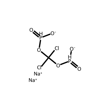 O=[PH]([O-])OC(Cl)(Cl)O[PH](=O)[O-].[Na+].[Na+]